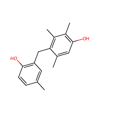 Cc1ccc(O)c(Cc2c(C)cc(O)c(C)c2C)c1